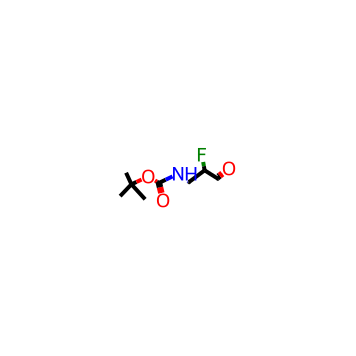 CC(C)(C)OC(=O)NCC(F)C=O